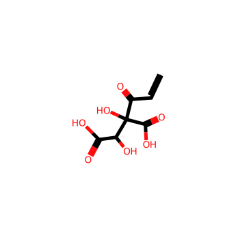 C=CC(=O)C(O)(C(=O)O)C(O)C(=O)O